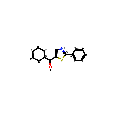 O=C(c1cnc(-c2ccccc2)s1)C1CCCCC1